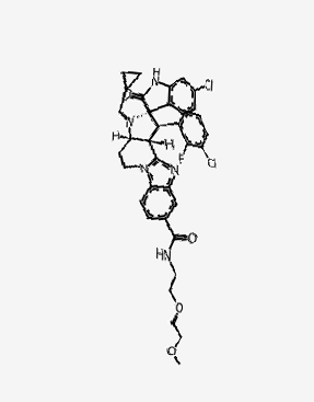 COCCOCCNC(=O)c1ccc2c(c1)nc1n2CC[C@H]2[C@@H]1[C@H](c1cccc(Cl)c1F)[C@]1(C(=O)Nc3cc(Cl)ccc31)N2CC1CC1